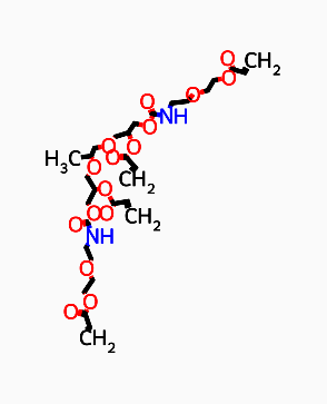 C=CC(=O)OCCOCCNC(=O)OCC(COCC(C)OCC(COC(=O)NCCOCCOC(=O)C=C)OC(=O)C=C)OC(=O)C=C